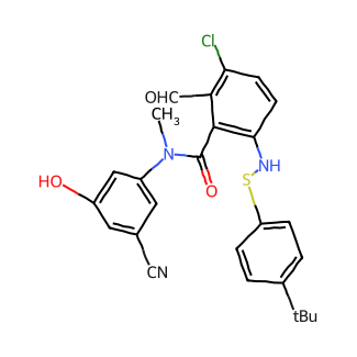 CN(C(=O)c1c(NSc2ccc(C(C)(C)C)cc2)ccc(Cl)c1C=O)c1cc(O)cc(C#N)c1